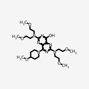 COCCN(CCOC)c1nc(N2CCC(OC)CC2)c2nc(N(CCOC)CCOC)nc(O)c2n1